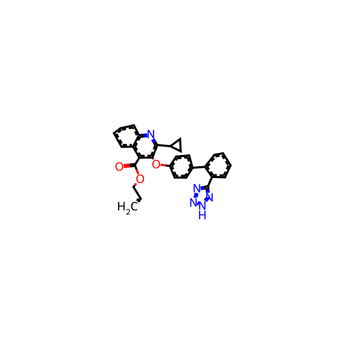 C=CCOC(=O)c1c(Oc2ccc(-c3ccccc3-c3nn[nH]n3)cc2)c(C2CC2)nc2ccccc12